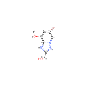 COc1cc(Br)cn2nc(CO)nc12